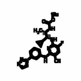 C[C@H](NC(=O)OC(C)(C)C)[C@H](Nc1nc(Nc2cccc(-n3ccnn3)c2)c(C#N)cc1F)C1CC1